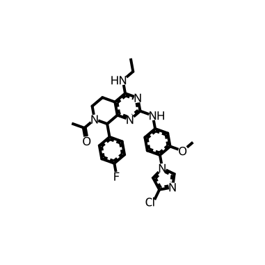 CCNc1nc(Nc2ccc(-n3cnc(Cl)c3)c(OC)c2)nc2c1CCN(C(C)=O)C2c1ccc(F)cc1